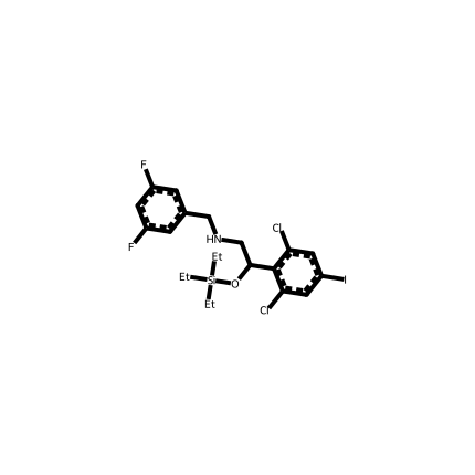 CC[Si](CC)(CC)OC(CNCc1cc(F)cc(F)c1)c1c(Cl)cc(I)cc1Cl